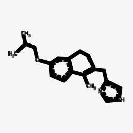 CC1=C(Cc2c[nH]cn2)CCc2cc(OCC(C)C)ccc21